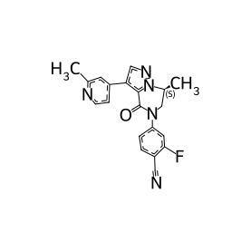 Cc1cc(-c2cnn3c2C(=O)N(c2ccc(C#N)c(F)c2)C[C@@H]3C)ccn1